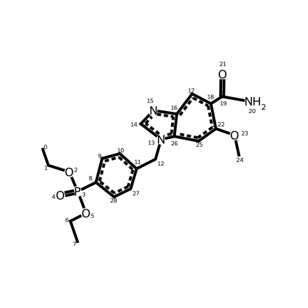 CCOP(=O)(OCC)c1ccc(Cn2cnc3cc(C(N)=O)c(OC)cc32)cc1